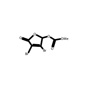 COC(=O)OC1OC(=O)C(Br)=C1Br